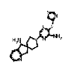 Nc1nc(N2CCC3(CC2)Cc2ncccc2[C@H]3N)cnc1Sc1cscn1